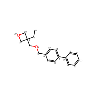 CCC1(COCc2ccc(-c3ccccc3)cc2)COC1